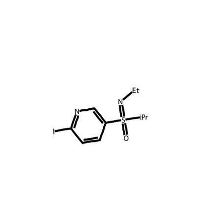 CCN=S(=O)(c1ccc(I)nc1)C(C)C